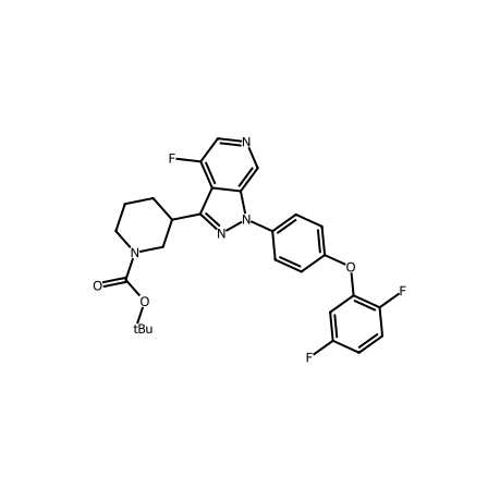 CC(C)(C)OC(=O)N1CCCC(c2nn(-c3ccc(Oc4cc(F)ccc4F)cc3)c3cncc(F)c23)C1